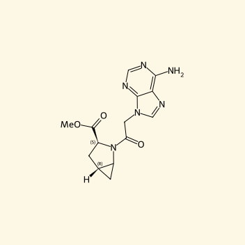 COC(=O)[C@@H]1C[C@H]2CC2N1C(=O)Cn1cnc2c(N)ncnc21